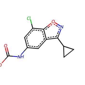 O=C(O)Nc1cc(Cl)c2onc(C3CC3)c2c1